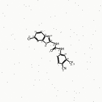 N#Cc1ccc(NC(=O)Nc2nc3ccc(Cl)cc3s2)cc1C(F)(F)F